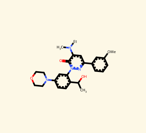 CCN(C)c1cc(-c2cccc(OC)c2)nn(-c2cc(N3CCOCC3)ccc2C(C)O)c1=O